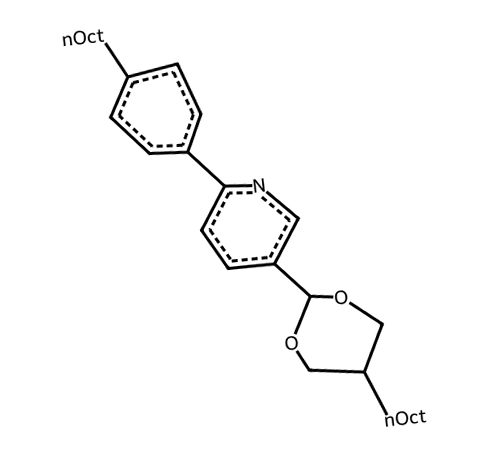 CCCCCCCCc1ccc(-c2ccc(C3OCC(CCCCCCCC)CO3)cn2)cc1